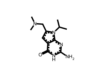 CC(C)n1c(CN(C)C)cc2c(=O)[nH]c(N)nc21